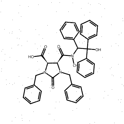 CN(C(=O)[C@@H]1[C@H](C(=O)O)N(Cc2ccccc2)C(=O)N1Cc1ccccc1)C(c1ccccc1)C(O)(c1ccccc1)c1ccccc1